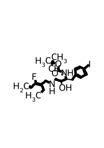 C=C/C(F)=C(\CC)CNC[C@H](O)[C@H](Cc1ccc(I)cc1)NC(=O)OC(C)(C)C